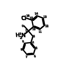 CC(N)(Cc1ccccc1)c1ccccc1Cl